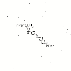 CCCCCCCCCCOc1ccc2cc(OCc3ccc(C(=O)OC[C@H](C)CCCCC)cc3)ccc2c1